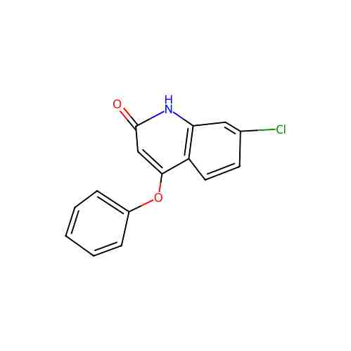 O=c1cc(Oc2ccccc2)c2ccc(Cl)cc2[nH]1